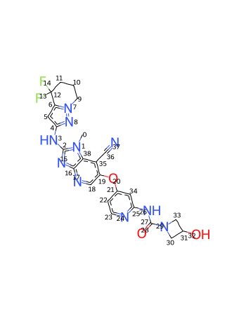 Cn1c(Nc2cc3n(n2)CCCC3(F)F)nc2ncc(Oc3ccnc(NC(=O)N4CC(O)C4)c3)c(C#N)c21